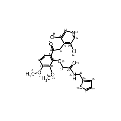 COc1ccc(C(=O)Cc2c(Cl)cncc2Cl)c(OCC(=O)NCc2cccs2)c1OC